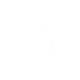 Cc1ccc(Nc2ccc(Cl)cc2)cc1